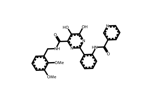 COc1cccc(CNC(=O)c2nc(-c3ccccc3NC(=O)c3cccnc3)nc(O)c2O)c1OC